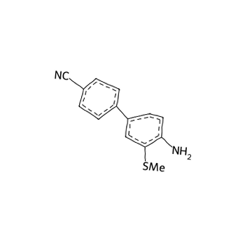 CSc1cc(-c2ccc(C#N)cc2)ccc1N